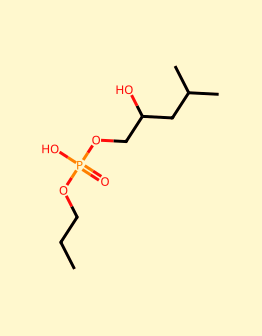 CCCOP(=O)(O)OCC(O)CC(C)C